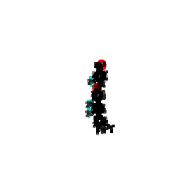 CCCC1CCC(c2ccc(C3CCC(OCc4ccc(C5CO5)cc4F)CC3)c(F)c2F)CC1